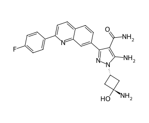 NC(=O)c1c(-c2ccc3ccc(-c4ccc(F)cc4)nc3c2)nn([C@H]2C[C@@](N)(O)C2)c1N